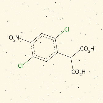 O=C(O)C(C(=O)O)c1cc(Cl)c([N+](=O)[O-])cc1Cl